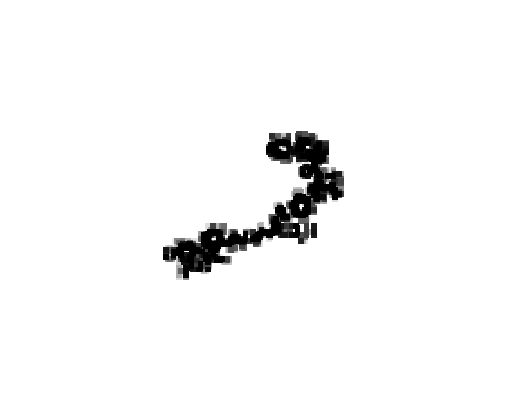 CN(CC(CCCOCCCc1cccc2c1n(C)c(=O)n2C1CCC(=O)NC1=O)C(=O)O)C[C@H]1CC[C@H](n2cc(NC(=O)c3cnn4ccc(N5CCOCC5)nc34)c(C(F)F)n2)CC1